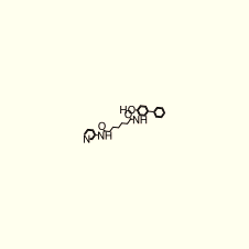 O=C(CCCCCC(=O)Nc1cc(-c2ccccc2)ccc1O)Nc1cccnc1